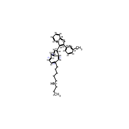 CCCNCCCCCC1=C/C=C/C=c2\ccc(-c3c(-c4cccc(C)n4)nc4ccccn34)c\c2=C\1